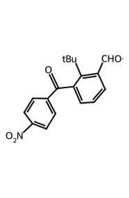 CC(C)(C)c1c([C]=O)cccc1C(=O)c1ccc([N+](=O)[O-])cc1